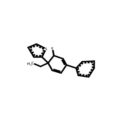 CCC1(c2cccs2)C=CC(c2ccccc2)=CC1F